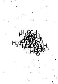 CC[C@H](C)[C@@H]([C@@H](CC(=O)N1CCC[C@H]1[C@H](OC)[C@@H](C)C(=O)N[C@@H](Cc1ccccc1)C(=O)O)OC)N(C)C(=O)[C@@H](NC(=O)C(C(C)C)N(C)C(=O)OCc1ccc(C)cc1)C(C)C